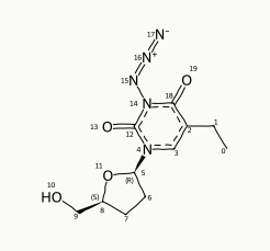 CCc1cn([C@H]2CC[C@@H](CO)O2)c(=O)n(N=[N+]=[N-])c1=O